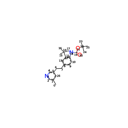 Cc1cncc(CCc2ccc3c(c2)C(C)(C)CN3C(=O)OC(C)(C)C)c1